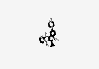 CC(=O)N1c2ccc(N3CCNCC3)cc2[C@H](Nc2ncccn2)[C@@H](C)C1C1CC1